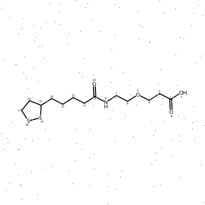 O=C(O)CCOCCNC(=O)CCCCC1CCSS1